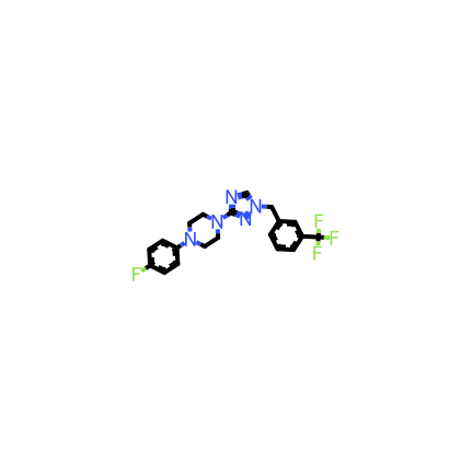 Fc1ccc(N2CCN(c3ncn(Cc4cccc(C(F)(F)F)c4)n3)CC2)cc1